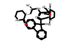 N#C[C@H](C[C@H]1CCCNC1=O)NC(=O)[C@@H]1[C@@H]2CC[C@@H](CC2(F)F)N1C(=O)C1(O)c2ccccc2-c2ccccc21